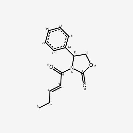 CC/C=C/C(=O)N1C(=O)OCC1c1ccccc1